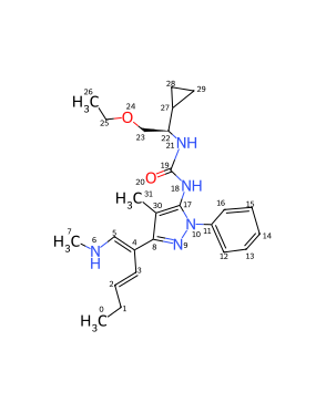 CC/C=C/C(=C\NC)c1nn(-c2ccccc2)c(NC(=O)N[C@@H](COCC)C2CC2)c1C